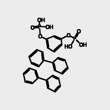 O=P(O)(O)Oc1cccc(OP(=O)(O)O)c1.c1ccc(-c2ccccc2)cc1.c1ccc(-c2ccccc2)cc1